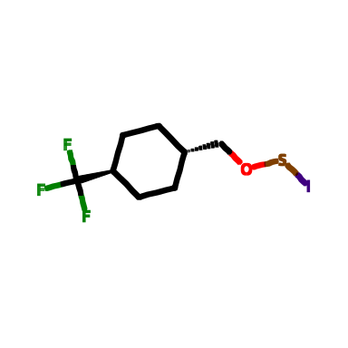 FC(F)(F)[C@H]1CC[C@H](COSI)CC1